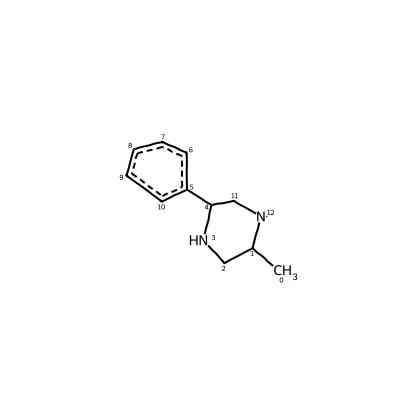 CC1CNC(c2ccccc2)C[N]1